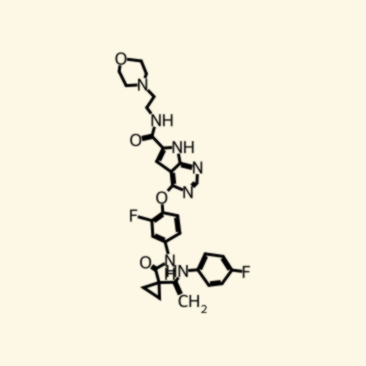 C=C(Nc1ccc(F)cc1)C1(C(=O)Nc2ccc(Oc3ncnc4[nH]c(C(=O)NCCN5CCOCC5)cc34)c(F)c2)CC1